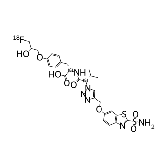 CC(C)[C@@H](C(=O)N[C@@H](Cc1ccc(OCC(O)C[18F])cc1)C(=O)O)n1cc(COc2ccc3nc(S(N)(=O)=O)sc3c2)nn1